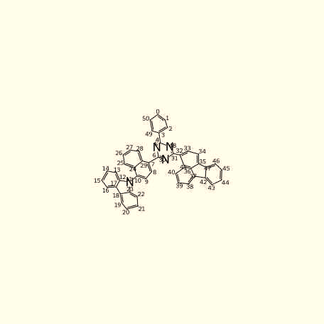 c1ccc(-c2nc(-c3ccc(-n4c5ccccc5c5ccccc54)c4ccccc34)nc(-c3ccc4c5c(cccc35)-c3ccccc3-4)n2)cc1